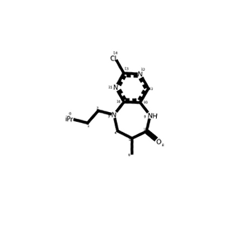 CC(C)CCN1CC(C)C(=O)Nc2cnc(Cl)nc21